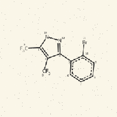 FC(F)(F)C1=C(C(F)(F)F)C(c2ccccc2Br)=N[N]1